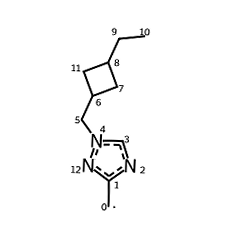 [CH2]c1ncn(CC2CC(CC)C2)n1